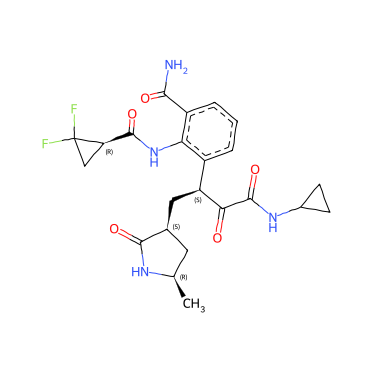 C[C@@H]1C[C@H](C[C@H](C(=O)C(=O)NC2CC2)c2cccc(C(N)=O)c2NC(=O)[C@H]2CC2(F)F)C(=O)N1